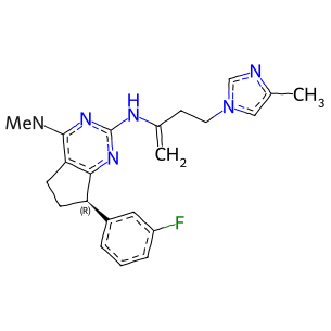 C=C(CCn1cnc(C)c1)Nc1nc(NC)c2c(n1)[C@@H](c1cccc(F)c1)CC2